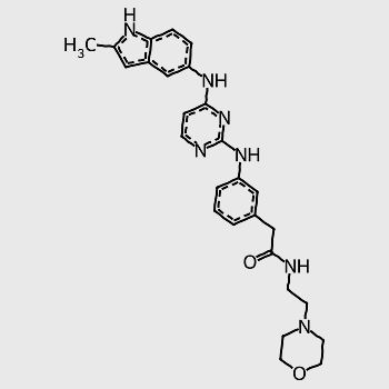 Cc1cc2cc(Nc3ccnc(Nc4cccc(CC(=O)NCCN5CCOCC5)c4)n3)ccc2[nH]1